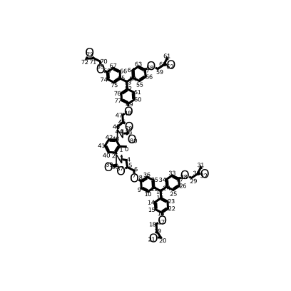 Cc1c(N2CC(COc3ccc(C(c4ccc(OCC5CO5)cc4)c4ccc(OCC5CO5)cc4)cc3)OC2=O)cccc1N1CC(COc2ccc(C(c3ccc(OCC4CO4)cc3)c3ccc(OCC4CO4)cc3)cc2)OC1=O